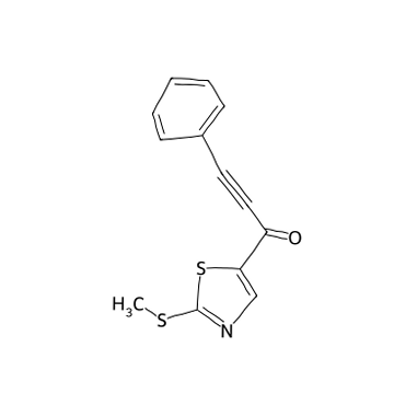 CSc1ncc(C(=O)C#Cc2ccccc2)s1